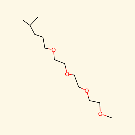 COCCOCCOCCOCCCC(C)C